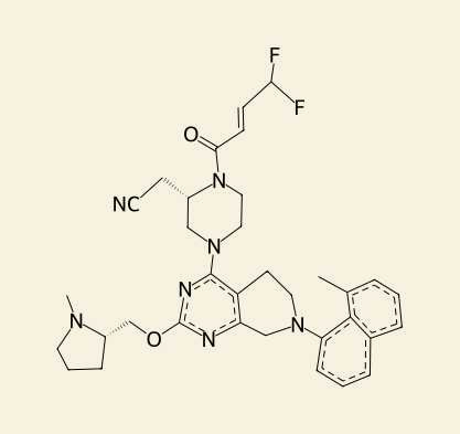 Cc1cccc2cccc(N3CCc4c(nc(OC[C@@H]5CCCN5C)nc4N4CCN(C(=O)/C=C/C(F)F)[C@@H](CC#N)C4)C3)c12